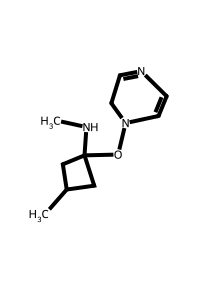 CNC1(ON2C=CN=CC2)CC(C)C1